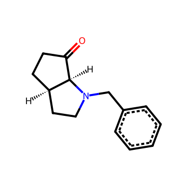 O=C1CC[C@@H]2CCN(Cc3ccccc3)[C@H]12